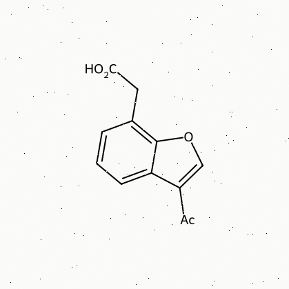 CC(=O)c1coc2c(CC(=O)O)cccc12